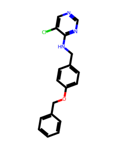 Clc1cncnc1NCc1ccc(OCc2ccccc2)cc1